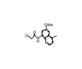 COc1cc(NC(=O)CCl)c2nccc(C)c2c1